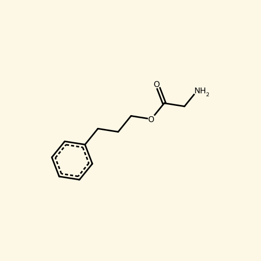 NCC(=O)OCCCc1ccccc1